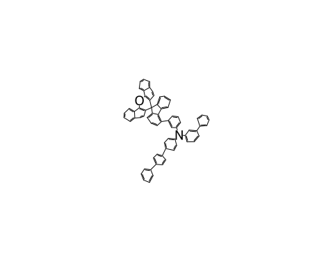 c1ccc(-c2ccc(-c3ccc(N(c4cccc(-c5ccccc5)c4)c4cccc(-c5cccc6c5-c5ccccc5C65c6ccc7ccccc7c6Oc6c5ccc5ccccc65)c4)cc3)cc2)cc1